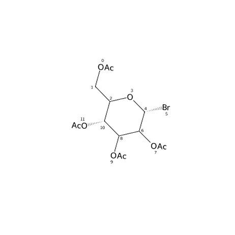 CC(=O)OCC1O[C@H](Br)C(OC(C)=O)C(OC(C)=O)[C@@H]1OC(C)=O